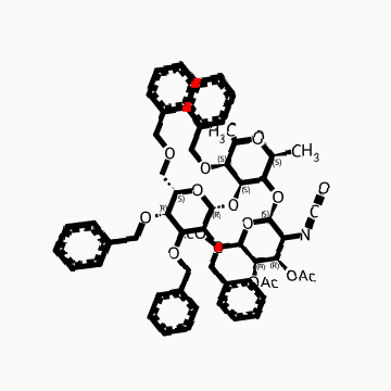 CC(=O)OCC1O[C@@H](OC2[C@H](C)OC(C)[C@H](OCc3ccccc3)[C@@H]2O[C@H]2O[C@@H](COCc3ccccc3)[C@@H](OCc3ccccc3)C(OCc3ccccc3)C2OCc2ccccc2)C(N=C=O)[C@@H](OC(C)=O)[C@H]1OC(C)=O